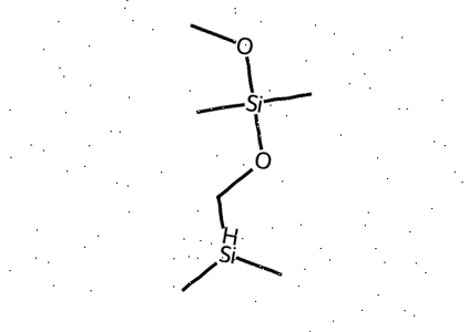 CO[Si](C)(C)OC[SiH](C)C